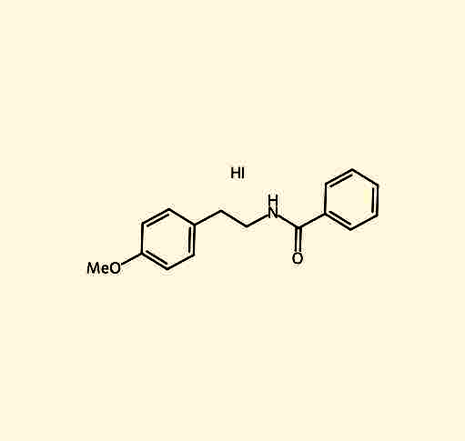 COc1ccc(CCNC(=O)c2ccccc2)cc1.I